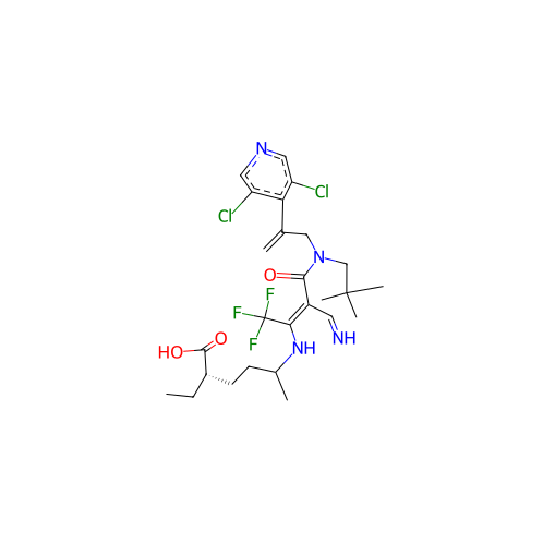 C=C(CN(CC(C)(C)C)C(=O)/C(C=N)=C(/NC(C)CC[C@H](CC)C(=O)O)C(F)(F)F)c1c(Cl)cncc1Cl